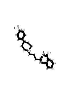 O=c1[nH]c(CCCN2CCC(c3ccc(O)cc3)CC2)nc2ccccc12